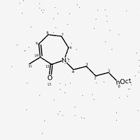 CCCCCCCCCCCCN1CCCC=C(C)C1=O